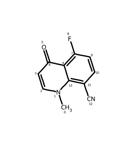 Cn1ccc(=O)c2c(F)ccc(C#N)c21